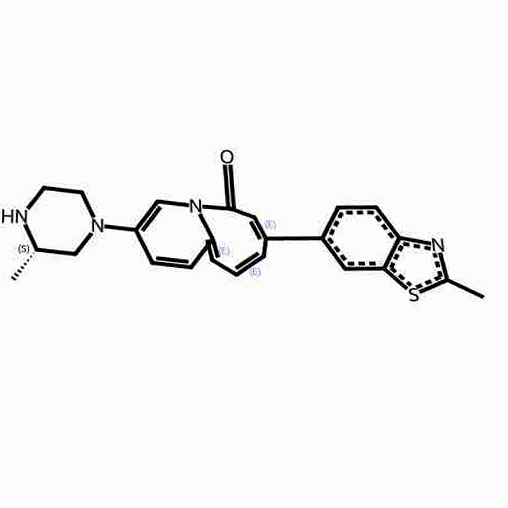 Cc1nc2ccc(C3=C\C(=O)N4C=C(N5CCN[C@@H](C)C5)C=C\C4=C/C=C/3)cc2s1